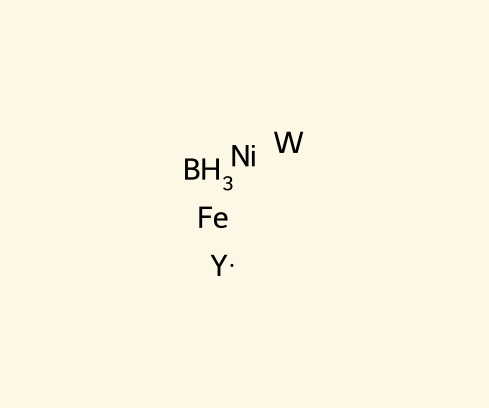 B.[Fe].[Ni].[W].[Y]